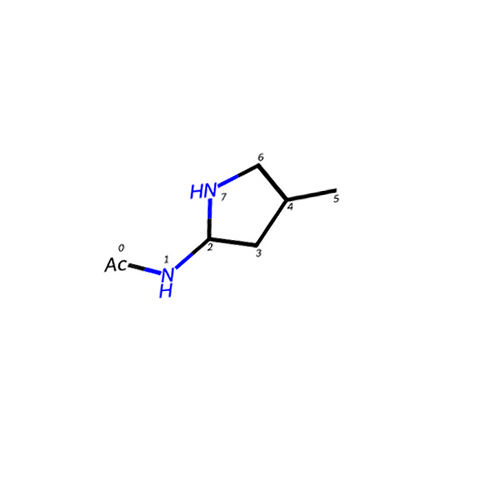 CC(=O)NC1CC(C)CN1